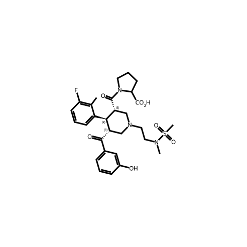 Cc1c(F)cccc1[C@@H]1[C@@H](C(=O)c2cccc(O)c2)CN(CCN(C)S(C)(=O)=O)C[C@H]1C(=O)N1CCCC1C(=O)O